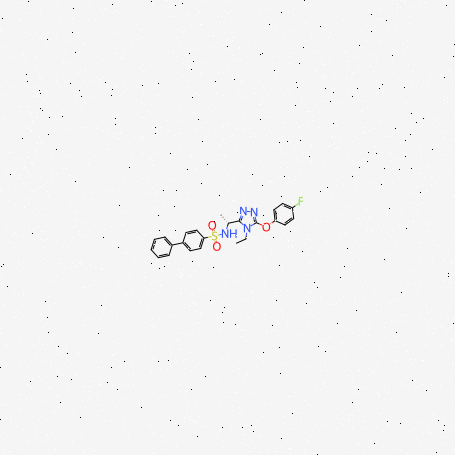 CCn1c(Oc2ccc(F)cc2)nnc1[C@@H](C)NS(=O)(=O)c1ccc(-c2ccccc2)cc1